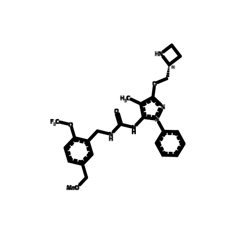 COCc1ccc(OC(F)(F)F)c(CNC(=O)Nc2c(C)c(OC[C@H]3CCN3)nn2-c2ccccc2)c1